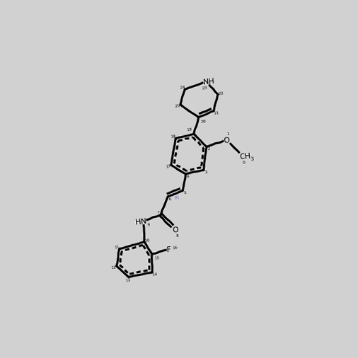 COc1cc(/C=C/C(=O)Nc2ccccc2F)ccc1C1=CCNCC1